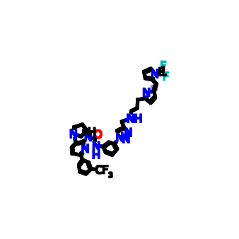 O=C(Nc1cccc(-n2cc(CNCCCC3=N/C(=C\c4cccn4B(F)F)C=C3)nn2)c1)N1c2nc(-c3cccc(C(F)(F)F)c3)ccc2N2CC[C@H]1C2